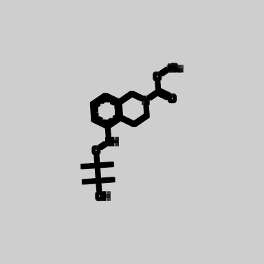 CC(C)(C)OC(=O)N1CCc2c(BOC(C)(C)C(C)(C)O)cccc2C1